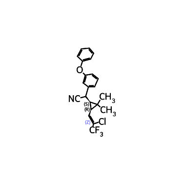 CC1(C)[C@H](C(C#N)c2cccc(Oc3ccccc3)c2)[C@@H]1/C=C(\Cl)C(F)(F)F